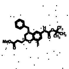 COC(=O)CC[C@H]1CN(Cc2ccccc2)c2cc(NC(=O)OC(C)(C)C(F)(F)F)cc(F)c2O1